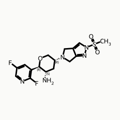 CS(=O)(=O)n1cc2c(n1)CN([C@H]1CO[C@H](c3cc(F)cnc3F)[C@@H](N)C1)C2